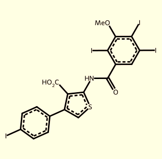 COc1c(I)c(I)cc(C(=O)Nc2scc(-c3ccc(I)cc3)c2C(=O)O)c1I